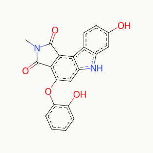 CN1C(=O)c2c(Oc3ccccc3O)cc3[nH]c4cc(O)ccc4c3c2C1=O